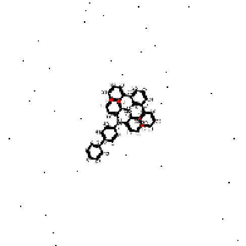 c1ccc(-c2ccc(N3c4ccccc4B(c4c(-c5ccccc5)cccc4-c4ccccc4)c4ccccc43)cc2)cc1